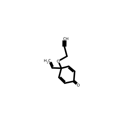 C#CCOC1(C=C)C=CC(=O)C=C1